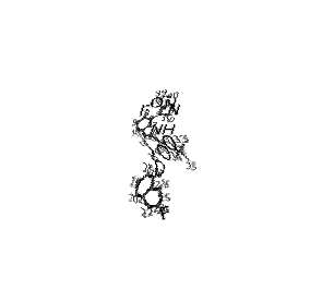 Cc1nn2c(c1-c1c(F)ccc3c(CCCOc4cccc5cc(F)ccc45)c(C(=O)OC(C)(C)C)[nH]c13)OCC2